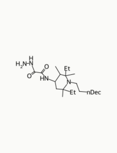 CCCCCCCCCCCCN1C(C)(CC)CC(NC(=O)C(=O)NN)C(C)C1(C)CC